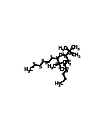 CCCCCCC(OC(CCCCCC)C(C)(C)C)C(C)(C)C